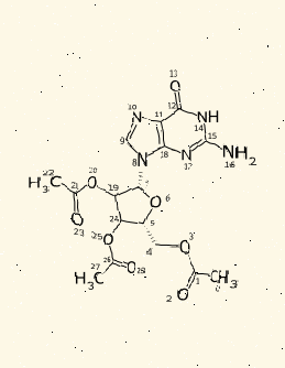 CC(=O)OC[C@H]1O[C@@H](n2cnc3c(=O)[nH]c(N)nc32)C(OC(C)=O)C1OC(C)=O